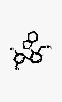 CC(C)(C)c1cc(-c2cccc(CN)c2N2CSC3=C2CCCC3)cc(C(C)(C)C)c1